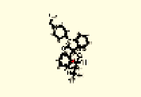 [2H]CN1CCC(OC(=O)C(OC([2H])([2H])C([2H])([2H])C([2H])([2H])[2H])(c2ccccc2)c2ccccc2)CC1